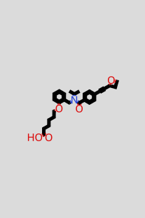 CC(C)N(Cc1ccccc1OCCCCCC(=O)O)C(=O)c1ccc(C#CC2CCO2)cc1